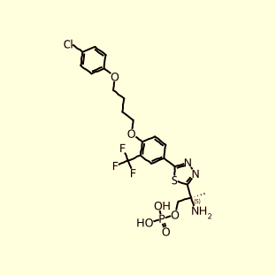 C[C@](N)(COP(=O)(O)O)c1nnc(-c2ccc(OCCCCOc3ccc(Cl)cc3)c(C(F)(F)F)c2)s1